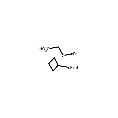 CCCCCC1CCC1.CCCOCC(=O)O